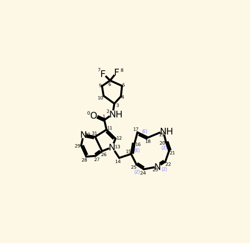 O=C(NC1CCC(F)(F)CC1)c1cn(CC2=C/C=C/N/C=C\C=N/C=C\2)c2cccnc12